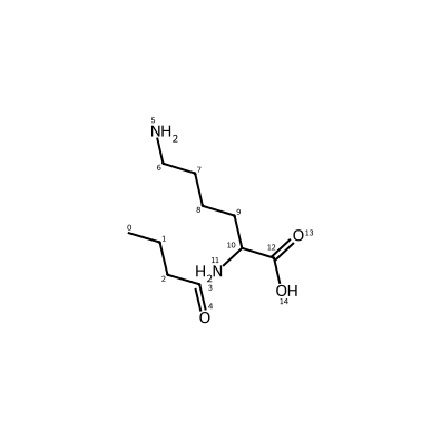 CCCC=O.NCCCCC(N)C(=O)O